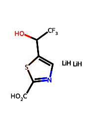 O=C(O)c1ncc(C(O)C(F)(F)F)s1.[LiH].[LiH]